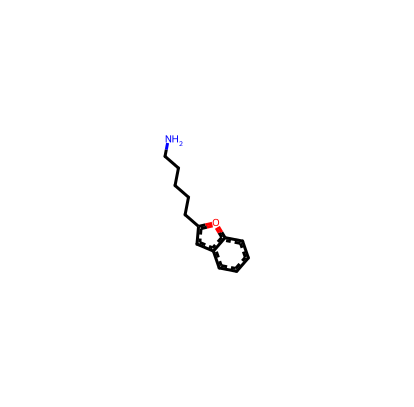 NCCCCCc1cc2ccccc2o1